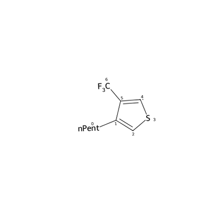 CCCCCc1cs[c]c1C(F)(F)F